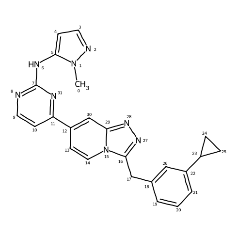 Cn1nccc1Nc1nccc(-c2ccn3c(Cc4cccc(C5CC5)c4)nnc3c2)n1